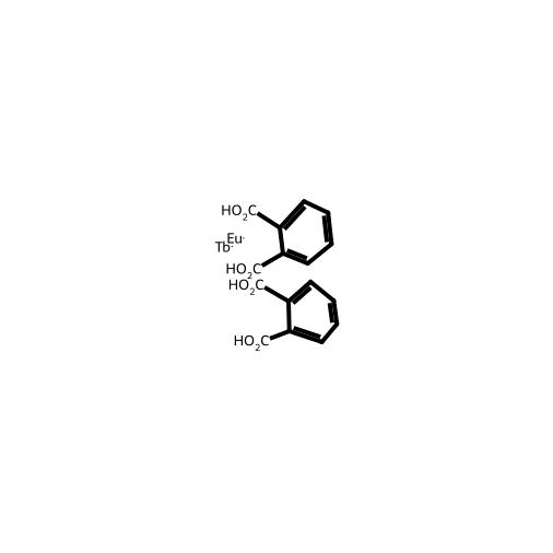 O=C(O)c1ccccc1C(=O)O.O=C(O)c1ccccc1C(=O)O.[Eu].[Tb]